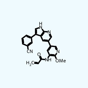 C=CC(=O)Nc1cc(-c2cnc3[nH]cc(-c4cccc(C#N)c4)c3c2)cnc1OC